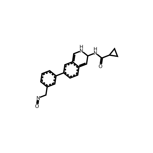 O=NCc1cccc(-c2ccc3c(c2)=CNC(NC(=O)C2CC2)C=3)c1